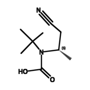 C[C@@H](CC#N)N(C(=O)O)C(C)(C)C